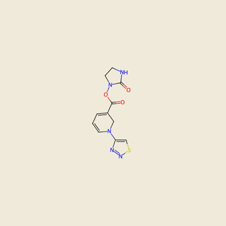 O=C(ON1CCNC1=O)C1=CC=CN(c2csnn2)C1